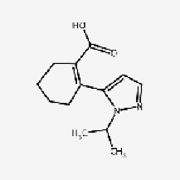 CC(C)n1nccc1C1=C(C(=O)O)CCCC1